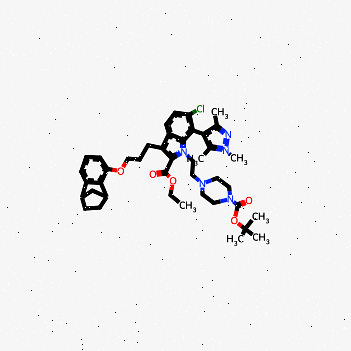 CCOC(=O)c1c(CCCOc2cccc3c2C2CCC3C2)c2ccc(Cl)c(-c3c(C)nn(C)c3C)c2n1CCN1CCN(C(=O)OC(C)(C)C)CC1